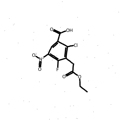 CCOC(=O)Cc1c(F)c([N+](=O)[O-])cc(C(=O)O)c1Cl